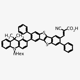 CCCCCCN1c2ccccc2C(C)(C)c2cc(-c3cc4c(cc3-c3ccccc3)sc3c5cc(/C=C(\C#N)C(=O)O)c(-c6ccccc6)cc5sc43)ccc21